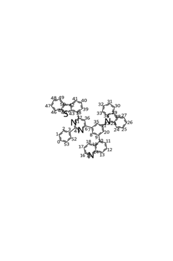 c1ccc(-c2nc(-c3cc(-c4cccc5ncccc45)cc(-n4c5ccccc5c5ccccc54)c3)cc(-c3cccc4c3sc3ccccc34)n2)cc1